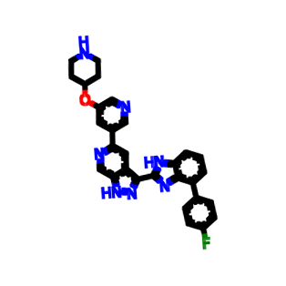 Fc1ccc(-c2cccc3[nH]c(-c4n[nH]c5cnc(-c6cncc(OC7CCNCC7)c6)cc45)nc23)cc1